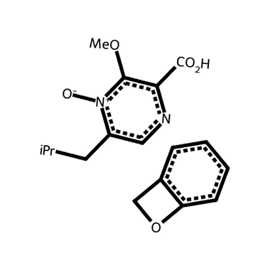 COc1c(C(=O)O)ncc(CC(C)C)[n+]1[O-].c1ccc2c(c1)CO2